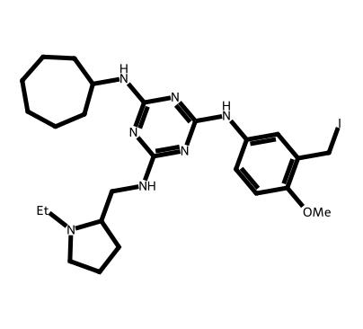 CCN1CCCC1CNc1nc(Nc2ccc(OC)c(CI)c2)nc(NC2CCCCCC2)n1